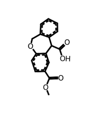 COC(=O)c1ccc2c(c1)C(C(=O)O)c1ccccc1CO2